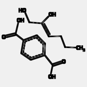 CCCC=C(O)CO.O=C(O)c1ccc(C(=O)O)cc1